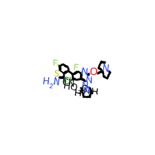 N#Cc1c(N)sc2c(F)ccc(-c3c(Cl)cc4c(N5C[C@H]6CC[C@@H](C5)N6C(=O)O)nc(OCC56CCCN5CCC6)nc4c3F)c12